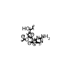 CCC(O)[C@@H]1C[C@@H](OC(C)=O)[C@H](n2c(=O)sc3cnc(N)nc32)O1